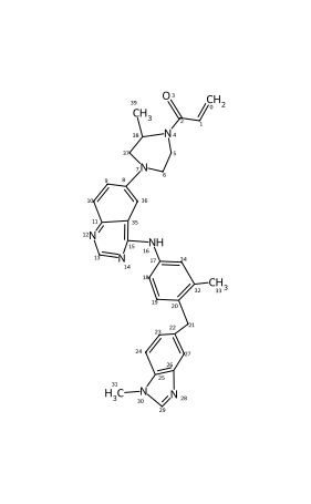 C=CC(=O)N1CCN(c2ccc3ncnc(Nc4ccc(Cc5ccc6c(c5)ncn6C)c(C)c4)c3c2)CC1C